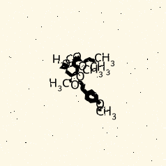 CC[C@@H]1C[C@]2(CO2)[C@@H]([C@@]2(C)O[C@@H]2CCC(C)C)[C@H](OC)[C@@H]1OC(=O)C=Cc1ccc(OC)cc1